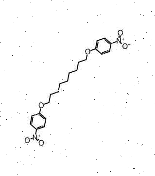 O=[N+]([O-])c1ccc(OCCCCCCCCCOc2ccc([N+](=O)[O-])cc2)cc1